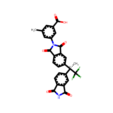 Cc1cc(C(=O)O)cc(N2C(=O)c3ccc([C@](C)(c4ccc5c(c4)C(=O)NC5=O)C(F)(F)F)cc3C2=O)c1